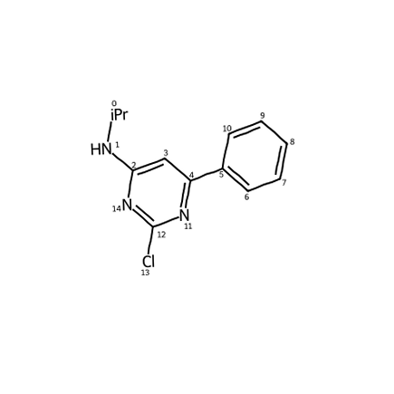 CC(C)Nc1cc(-c2ccccc2)nc(Cl)n1